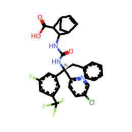 O=C(NC1C2C=CC(C2)C1C(=O)O)N[C@@](Cc1ccccc1)(c1cc(F)cc(C(F)(F)F)c1)c1ccc(Cl)cn1